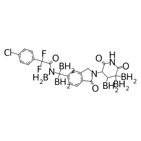 BC1C(N2Cc3cc(C(B)(B)N(B)C(=O)C(F)(F)c4ccc(Cl)cc4)ccc3C2=O)C(=O)NC(=O)C1(B)B